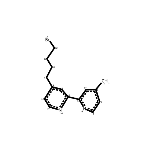 Cc1ccnc(-c2cc(CCCCBr)ccn2)c1